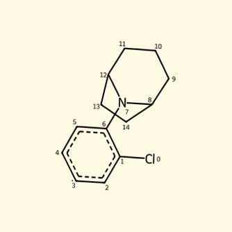 Clc1c[c]ccc1N1C2CCCC1CC2